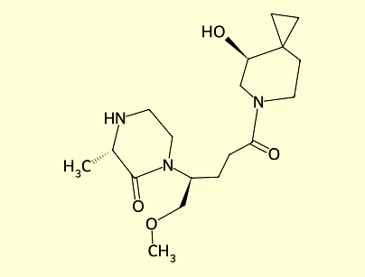 COC[C@H](CCC(=O)N1CCC2(CC2)[C@H](O)C1)N1CCN[C@@H](C)C1=O